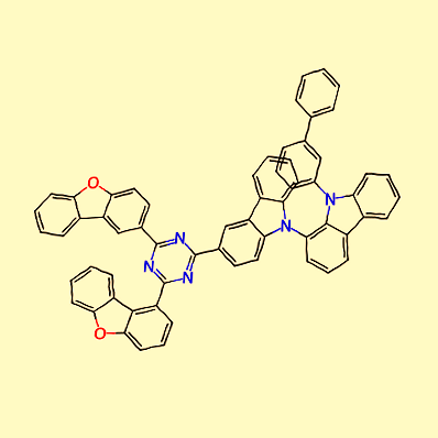 c1ccc(-c2cccc(-n3c4ccccc4c4cccc(-n5c6ccccc6c6cc(-c7nc(-c8ccc9oc%10ccccc%10c9c8)nc(-c8cccc9oc%10ccccc%10c89)n7)ccc65)c43)c2)cc1